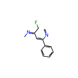 C=N/C(=C\C(CF)=N/C)c1ccccc1